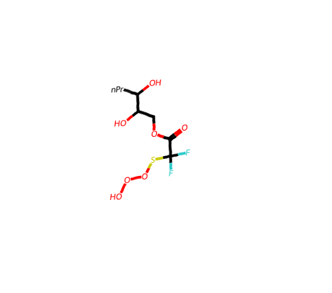 CCCC(O)C(O)COC(=O)C(F)(F)SOOO